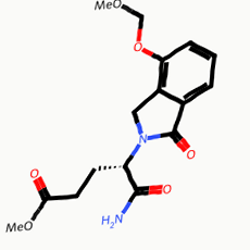 COCOc1cccc2c1CN([C@@H](CCC(=O)OC)C(N)=O)C2=O